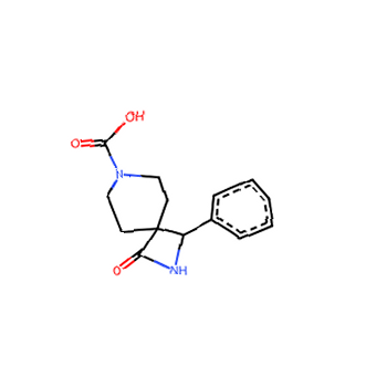 O=C(O)N1CCC2(CC1)C(=O)NC2c1ccccc1